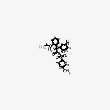 CCOc1ccccc1C1(N)C(=O)N(S(=O)(=O)c2ccc(C)cn2)c2ccc(Cl)cc21